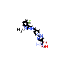 Cn1cc(CNCC2CCN(c3ncc(C(=O)NO)cn3)CC2)c2c(F)cccc21